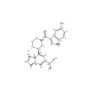 C[C@@H]1CCN(C(=O)c2c[nH]c3ccc(F)cc23)C[C@H]1c1cc(C(F)F)nc2ncnn12